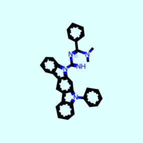 CN(C)/C(=N\C(=N)n1c2ccccc2c2cc3c4ccccc4n(-c4ccccc4)c3cc21)c1ccccc1